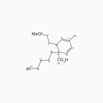 COCCC1C=C(C)C=CC1(CCCCC(C)C)C(=O)O